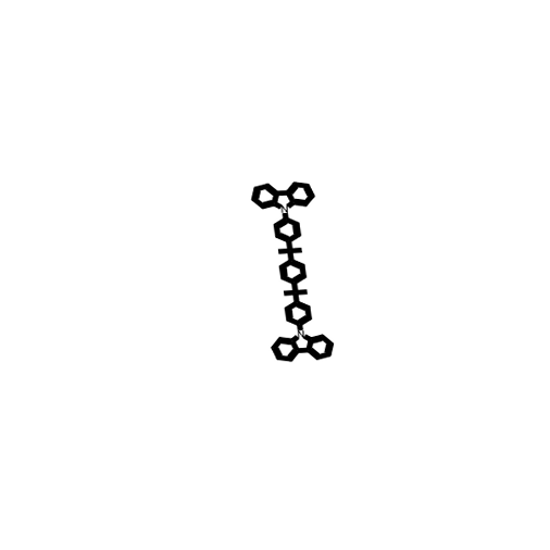 CC(C)(c1ccc(-n2c3ccccc3c3ccccc32)cc1)c1ccc(C(C)(C)c2ccc(-n3c4ccccc4c4ccccc43)cc2)cc1